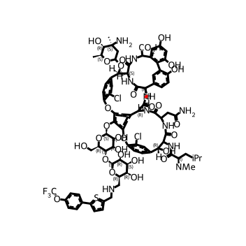 CN[C@H](CC(C)C)C(=O)NC1C(=O)NC(CC(N)=O)C(=O)N[C@H]2C(=O)N[C@H]3C(=O)N[C@H](C(=O)NC(C(=O)O)c4cc(O)cc(O)c4-c4cc3ccc4O)[C@H](OC3C[C@](C)(N)[C@@H](O)[C@H](C)O3)c3ccc(c(Cl)c3)Oc3cc2cc(c3O[C@@H]2O[C@H](CO)[C@@H](O[C@@H]3O[C@H](CNCc4ccc(-c5ccc(OC(F)(F)F)cc5)s4)[C@H](O)[C@H](O)[C@H]3O)[C@H](O)[C@H]2O)Oc2ccc(cc2Cl)[C@H]1O